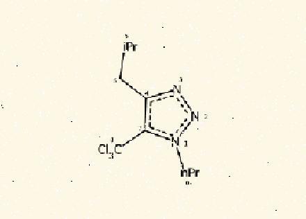 CCCn1nnc(CC(C)C)c1C(Cl)(Cl)Cl